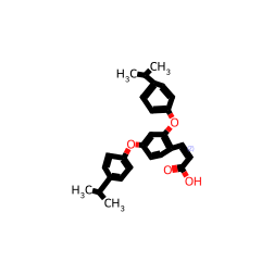 CC(C)c1ccc(Oc2ccc(/C=C\C(=O)O)c(Oc3ccc(C(C)C)cc3)c2)cc1